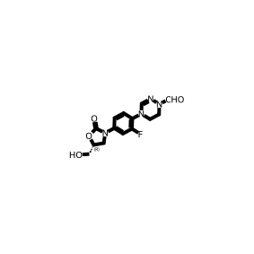 O=CN1CCN(c2ccc(N3C[C@H](CO)OC3=O)cc2F)C=N1